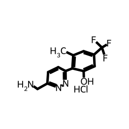 Cc1cc(C(F)(F)F)cc(O)c1-c1ccc(CN)nn1.Cl